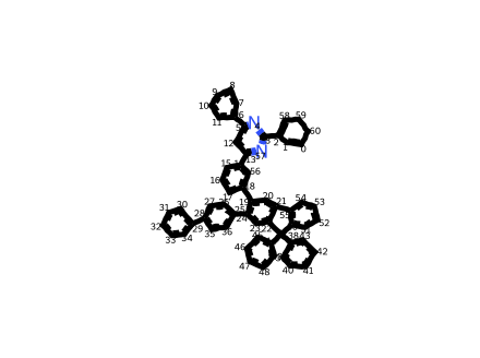 C1=CC(c2nc(-c3ccccc3)cc(-c3cccc(-c4cc5c(cc4-c4ccc(-c6ccccc6)cc4)C(c4ccccc4)(c4ccccc4)c4ccccc4-5)c3)n2)=CCC1